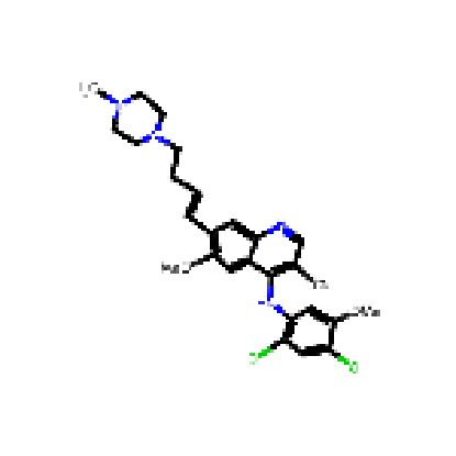 COc1cc(Nc2c(C#N)cnc3cc(C=CCCN4CCN(C)CC4)c(OC)cc23)c(Cl)cc1Cl